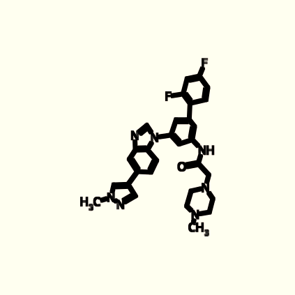 CN1CCN(CC(=O)Nc2cc(-c3ccc(F)cc3F)cc(-n3cnc4cc(-c5cnn(C)c5)ccc43)c2)CC1